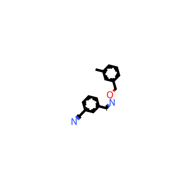 Cc1cccc(CO/N=[C]\c2cccc(C#N)c2)c1